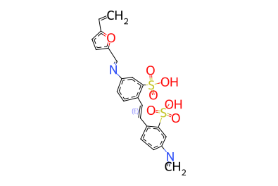 C=Cc1ccc(C=Nc2ccc(/C=C/c3ccc(N=C)cc3S(=O)(=O)O)c(S(=O)(=O)O)c2)o1